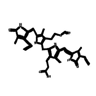 C=CC1=C(C)/C(=C/c2[nH]c(Cc3[nH]c(CC4NC(=O)C(C)=C4C=C)c(C)c3CCOC=O)c(CCC(=O)O)c2C)NC1=O